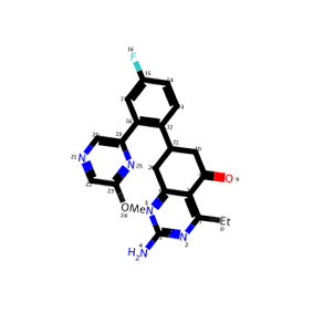 CCc1nc(N)nc2c1C(=O)CC(c1ccc(F)cc1-c1cncc(OC)n1)C2